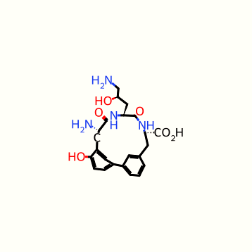 NC[C@H](O)C[C@@H]1NC(=O)[C@@H](N)Cc2cc(ccc2O)-c2cccc(c2)C[C@@H](C(=O)O)NC1=O